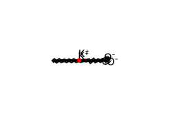 CCCCCCCCCCCCCCCCCCCCCCOB([O-])[O-].[K+].[K+]